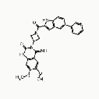 COc1cc2[nH]c(=O)n(C3CN(C(=O)c4cc5cc(-c6cccnc6)ccc5[nH]4)C3)c(=N)c2cc1OC